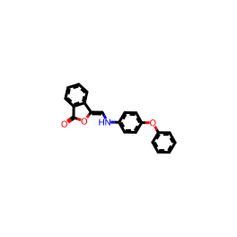 O=C1OC(=CNc2ccc(Oc3ccccc3)cc2)c2ccccc21